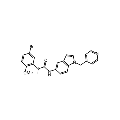 COc1ccc(Br)cc1NC(=O)Nc1ccc2c(ccn2Cc2ccncc2)c1